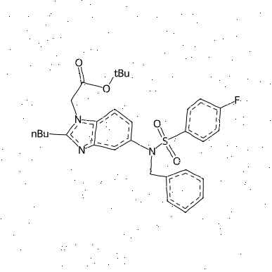 CCCCc1nc2cc(N(Cc3ccccc3)S(=O)(=O)c3ccc(F)cc3)ccc2n1CC(=O)OC(C)(C)C